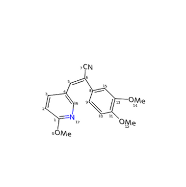 COc1ccc(C=C(C#N)c2ccc(OC)c(OC)c2)cn1